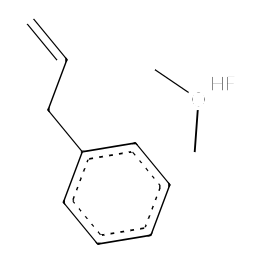 C=CCc1ccccc1.COC.F